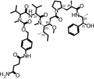 CC[C@H](C)[C@@H]([C@@H](CC(=O)N1CCC[C@H]1C[C@@H](C)C(=O)N[C@H](C)[C@@H](O)c1ccccc1)OC)N(C)C(=O)[C@@H](NC(=O)C(C(C)C)N(C)C(=O)OCc1ccc(NC(=O)CCC(N)=O)cc1)C(C)C